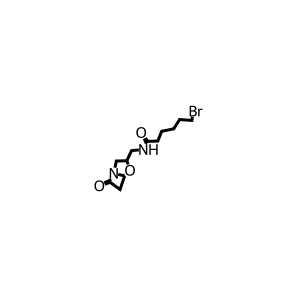 O=C(CCCCCBr)NCC1CN2C(=O)CC2O1